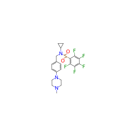 CN1CCN(c2ccc(CN(C3CC3)S(=O)(=O)c3c(F)c(F)c(F)c(F)c3F)cc2)CC1